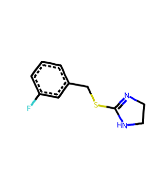 Fc1cccc(CSC2=NCCN2)c1